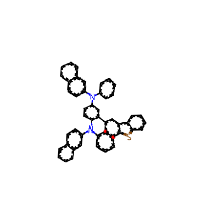 c1ccc(N(c2ccc(N(c3ccccc3)c3ccc4ccccc4c3)c(-c3ccc4sc5ccccc5c4c3)c2)c2ccc3ccccc3c2)cc1